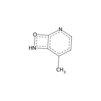 Cc1ccnc2o[nH]c12